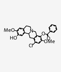 COc1cc2c(cc1O)C1Cc3c(Cl)cc(OC)c(OC(=O)c4ccccc4)c3CN1CC2